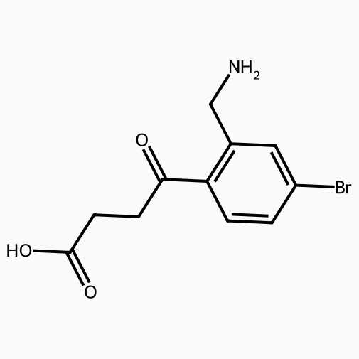 NCc1cc(Br)ccc1C(=O)CCC(=O)O